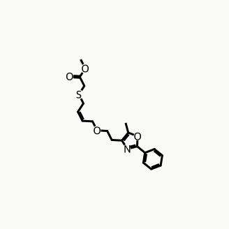 COC(=O)CSC/C=C\COCCc1nc(-c2ccccc2)oc1C